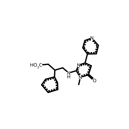 Cn1c(NCC(CC(=O)O)c2ccccc2)nc(-c2ccncc2)cc1=O